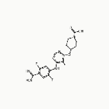 Cc1c(Nc2cc(F)c(C(=N)N)cc2F)ncnc1OC1CCN(C(=O)O)CC1